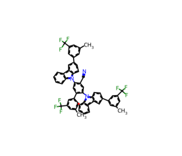 Cc1cc(-c2ccc3c(c2)c2ccccc2n3-c2cc(-c3cc(C)cc(C(F)(F)F)c3)c(-n3c4ccccc4c4cc(-c5cc(C)cc(C(F)(F)F)c5)ccc43)cc2C#N)cc(C(F)(F)F)c1